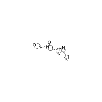 O=c1cc(-c2cnc3c(-c4ccsc4)cnn3c2)ccn1CCN1CCOCC1